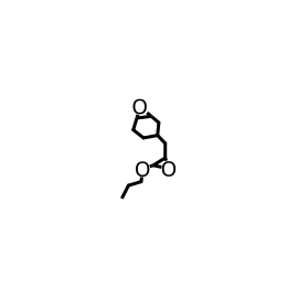 CCCOC1OC1CC1CCC2OC2C1